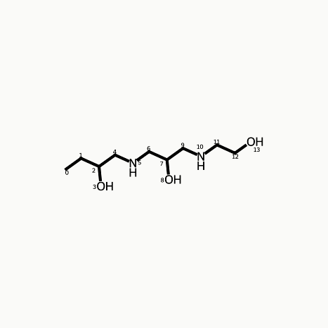 CCC(O)CNCC(O)CNCCO